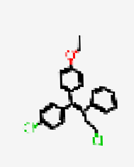 [CH2]COc1ccc(/C(=C(/CCCl)c2ccccc2)c2ccc(Cl)cc2)cc1